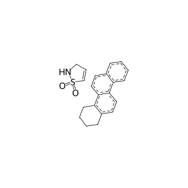 O=S1(=O)C=CCN1.c1ccc2c(c1)ccc1c3c(ccc12)CCCC3